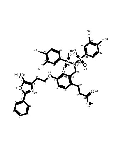 Cc1oc(-c2ccccc2)nc1CCOc1ccc(CCC(=O)O)c(CN(S(=O)(=O)c2ccc(F)c(F)c2)S(=O)(=O)c2ccc(F)c(F)c2)c1